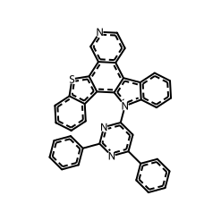 c1ccc(-c2cc(-n3c4ccccc4c4c5ccncc5c5sc6ccccc6c5c43)nc(-c3ccccc3)n2)cc1